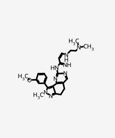 COc1cccc(-c2c3c(nn2C)CCc2cnc(NC(=N)/C=C\NCCN(C)C)nc2-3)c1